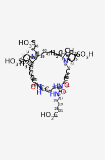 CC1(C)C2=[N+](CCCCCC(=O)NC(C(=O)NCCCCCC(=O)O)CCCCNC(=O)CCCCCC3(C)/C(=C/C=C/C=C/C=C/2)N(CCCS(=O)(=O)O)c2ccc(S(=O)(=O)O)cc23)c2ccc(S(=O)(=O)O)cc21